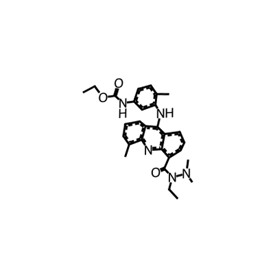 CCOC(=O)Nc1ccc(C)c(Nc2c3cccc(C)c3nc3c(C(=O)N(CC)N(C)C)cccc23)c1